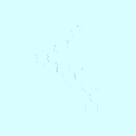 O=C(Nc1ccc(Cl)cc1N1CCN(CCC(F)(F)F)CC1)c1ccc(CNC(=O)N2CCCC(O)C2)c(F)c1F